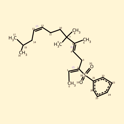 C/C=C(/C/C=C(\C)C(C)(C)CC/C=C\CC(C)C)S(=O)(=O)c1ccccc1